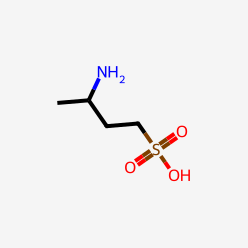 CC(N)CCS(=O)(=O)O